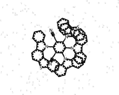 N#Cc1c(-n2c3ccccc3c3ccccc32)c(-n2c3ccccc3c3ccc4sc5ccccc5c4c32)c(-n2c3ccccc3c3ccccc32)c(C#N)c1-n1c2ccccc2c2ccc3sc4ccccc4c3c21